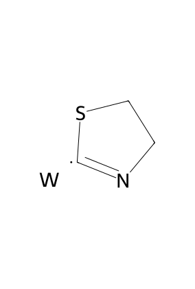 [C]1=NCCS1.[W]